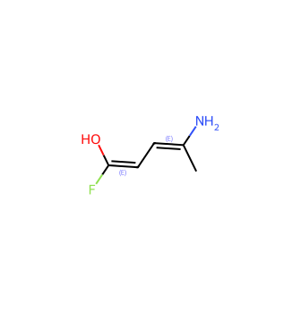 C/C(N)=C\C=C(/O)F